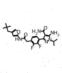 CC(C)n1nc(-c2ccc(CC(=O)Nc3cc(CC(C)(C)C)co3)c(F)c2F)c(C(N)=O)c1N